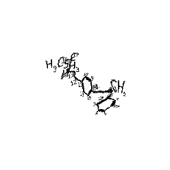 C=C(c1ccccc1)c1ccc(CCC[SiH](C)C)cc1